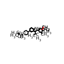 C=C(C)/C=C(\C=C(\C)C(C)CC)c1[nH]c2ccc(C3CCN(C(=O)OC(C)(C)C)CC3)cc2c1C(C)C